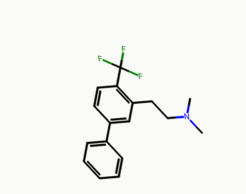 CN(C)CCc1cc(-c2ccccc2)ccc1C(F)(F)F